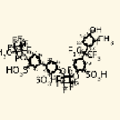 Cc1cc(C(c2ccc(OC3(F)C(F)(F)C(F)(F)C3(F)Oc3ccc(-c4ccc(OC5(F)C(C)(F)C(F)(F)C5(F)F)c(S(=O)(=O)O)c4)cc3S(=O)(=O)O)c(S(=O)(=O)O)c2)(C(F)(F)F)C(F)(F)F)ccc1O